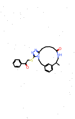 CC1CNC(=O)CCCCc2nnc(SCC(=O)c3ccccc3)n2CCc2cccc1c2